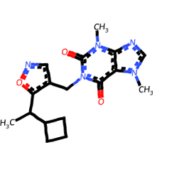 CC(c1oncc1Cn1c(=O)c2c(ncn2C)n(C)c1=O)C1CCC1